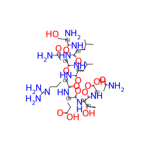 CC(C)C[C@H](NC(=O)[C@H](CC(N)=O)NC(=O)[C@H](CC(C)C)NC(=O)[C@@H](N)CO)C(=O)N[C@@H](CCCN=C(N)N)C(=O)N[C@@H](CCC(=O)O)C(=O)N[C@H](C(=O)N[C@@H](CC(N)=O)C(=O)O)[C@@H](C)O